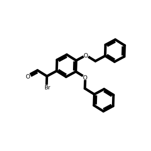 O=CC(Br)c1ccc(OCc2ccccc2)c(OCc2ccccc2)c1